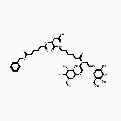 O=C(O)C[C@H](NC(=O)CCCCC(=O)OCc1ccccc1)C(=O)NCCCCCC(=O)N(CCO[C@H]1O[C@H](CO)[C@@H](O)[C@H](O)[C@@H]1O)CCO[C@H]1O[C@H](CO)[C@@H](O)[C@H](O)[C@@H]1O